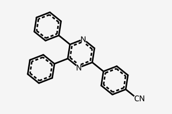 N#Cc1ccc(-c2cnc(-c3ccccc3)c(-c3ccccc3)n2)cc1